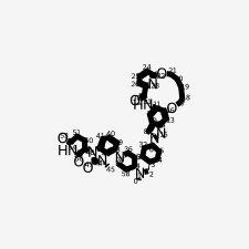 CN(C[C@H]1CC[C@H](n2cc3cc4c(cc3n2)OCCCCCOc2cccc(n2)C(=O)N4)CC1)C1CCN(c2cccc3c2n(C)c(=O)n3C2CCC(=O)NC2=O)CC1